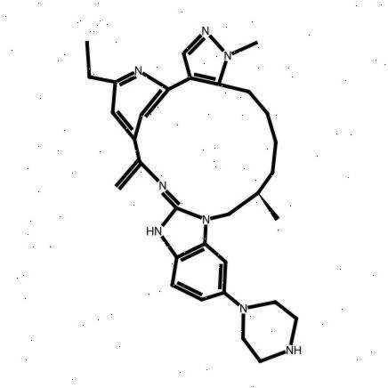 C=C1/N=C2\Nc3ccc(N4CCNCC4)cc3N2C[C@H](C)CCCCc2c(cnn2C)-c2cc1cc(CC)n2